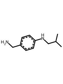 CC(C)CNc1ccc(CN)cc1